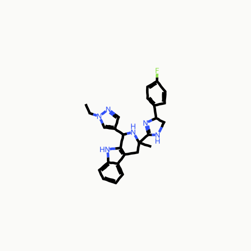 CCn1cc(C2NC(C)(C3=NC(c4ccc(F)cc4)CN3)Cc3c2[nH]c2ccccc32)cn1